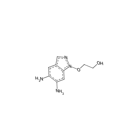 Nc1cc2cnn(OCCO)c2cc1N